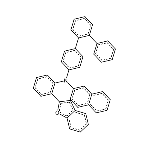 c1ccc(-c2ccccc2-c2ccc(N(c3ccc4ccccc4c3)c3ccccc3-c3cc4ccccc4o3)cc2)cc1